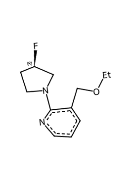 CCOCc1cccnc1N1CC[C@@H](F)C1